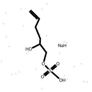 C=CCCC(O)COS(=O)(=O)O.[NaH]